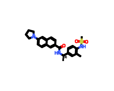 Cc1cc([C@@H](C)NC(=O)c2ccc3cc(N4CCCC4)ccc3c2)ccc1NS(C)(=O)=O